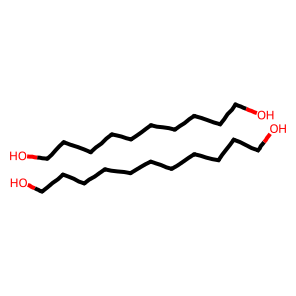 OCCCCCCCCCCCO.OCCCCCCCCCCO